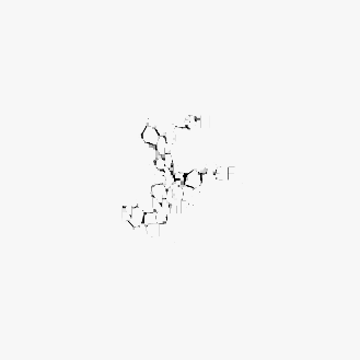 CCC[C@H]1N(C(=O)c2cnccc2C(F)(F)F)CCC[C@@]1(Oc1ccc(OC(F)(F)F)cc1)C(=O)N1CCN(c2ccccc2OCCO)CC1